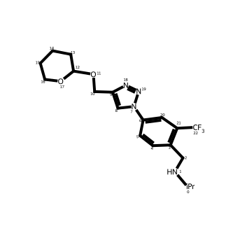 CC(C)NCc1ccc(-n2cc(COC3CCCCO3)nn2)cc1C(F)(F)F